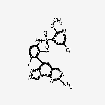 COc1ncc(Cl)cc1S(=O)(=O)Nc1ccc(F)c(-c2cc3cnc(N)nc3n3cnnc23)c1F